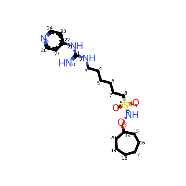 N=C(NCCCCCCS(=O)(=O)NOC1CCCCCC1)Nc1ccncc1